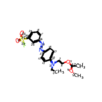 CCN(CCOC(C)OC)c1ccc(N=Nc2cccc(S(=O)(=O)F)c2)cc1